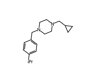 CC(C)c1ccc(CN2CCN(CC3CC3)CC2)cc1